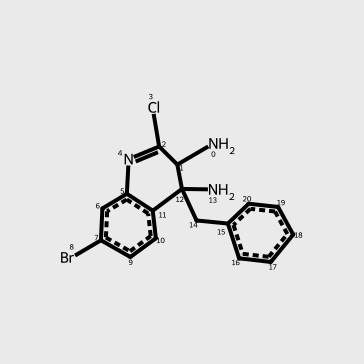 NC1C(Cl)=Nc2cc(Br)ccc2C1(N)Cc1ccccc1